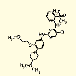 COCCOc1cc(Nc2ncc(Cl)c(Nc3ccccc3P(C)(C)=O)n2)ccc1N1CCC(N(C)C)CC1